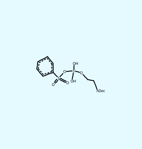 CCCCCCCCCCCC[O][Ti]([OH])([OH])[O]S(=O)(=O)c1ccccc1